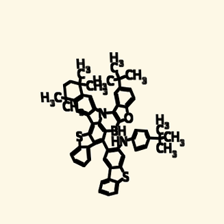 CC(C)(C)c1ccc(Nc2cc3sc4ccccc4c3cc2-c2c3c4c(c5cc6c(cc5n4-c4c(oc5ccc(C(C)(C)C)cc45)B3)C(C)(C)CCC6(C)C)c3sc4ccccc4c23)cc1